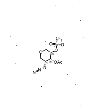 CC(=O)O[C@@H]1[C@@H](N=[N+]=[N-])COC[C@H]1OS(=O)(=O)C(F)(F)F